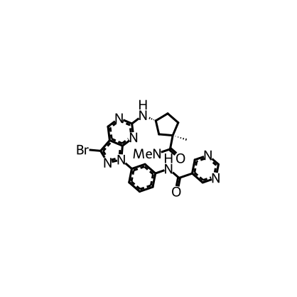 CNC(=O)[C@]1(C)CC[C@@H](Nc2ncc3c(Br)nn(-c4cccc(NC(=O)c5cncnc5)c4)c3n2)C1